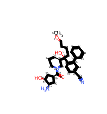 COCCCC[C@@](O)(c1ccc(C#N)cc1-c1ccccc1)[C@@H]1CCCN(C(=O)[C@H]2C[C@@H](N)[C@@H](O)C2)C1